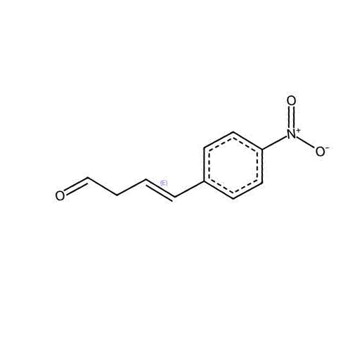 O=CC/C=C/c1ccc([N+](=O)[O-])cc1